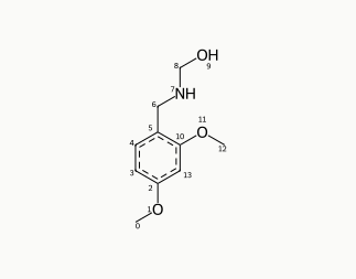 COc1ccc(CNCO)c(OC)c1